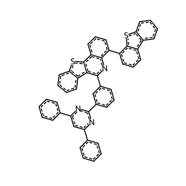 c1ccc(-c2cc(-c3ccccc3)nc(-c3cccc(-c4nc5c(-c6cccc7c6sc6ccccc67)cccc5c5sc6ccccc6c45)c3)n2)cc1